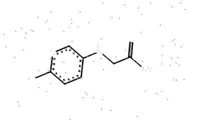 CNC(=O)CNc1ccc(I)nc1